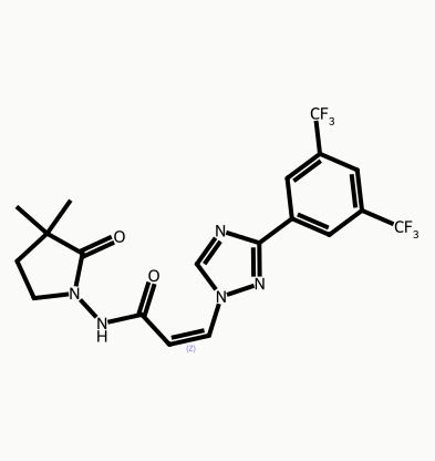 CC1(C)CCN(NC(=O)/C=C\n2cnc(-c3cc(C(F)(F)F)cc(C(F)(F)F)c3)n2)C1=O